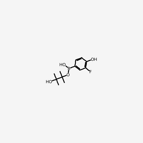 CC(C)(O)C(C)(C)OB(O)c1ccc(O)c(F)c1